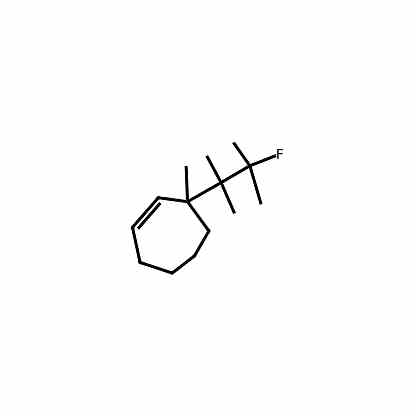 CC(C)(F)C(C)(C)C1(C)C=CCCCC1